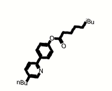 CCCCc1ccc(-c2ccc(OC(=O)CCCCC(C)CC)cc2)nc1